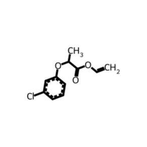 C=COC(=O)C(C)Oc1cccc(Cl)c1